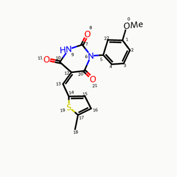 COc1cccc(N2C(=O)NC(=O)C(=Cc3ccc(C)s3)C2=O)c1